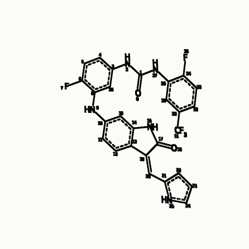 O=C(Nc1ccc(F)c(Nc2ccc3c(c2)NC(=O)/C3=C\c2ccc[nH]2)c1)Nc1cc(C(F)(F)F)ccc1F